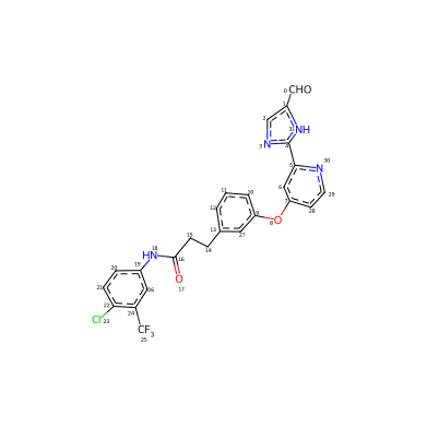 O=Cc1cnc(-c2cc(Oc3cccc(CCC(=O)Nc4ccc(Cl)c(C(F)(F)F)c4)c3)ccn2)[nH]1